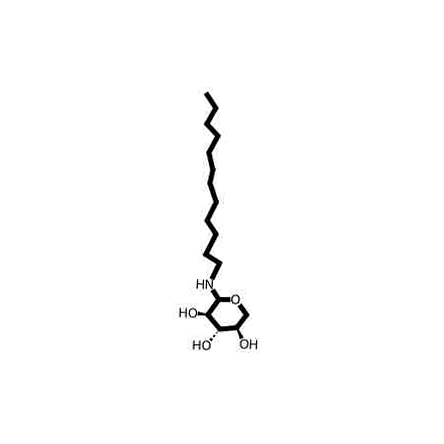 CCCCCCCCCCCCNC1OC[C@@H](O)[C@H](O)[C@H]1O